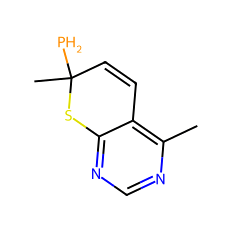 Cc1ncnc2c1C=CC(C)(P)S2